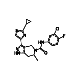 CC1Cc2[nH]nc(-c3csc(C4CC4)n3)c2CN1C(=O)Nc1ccc(F)c(Cl)c1